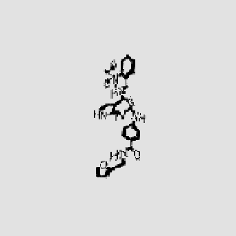 CN(c1ccccc1CNc1nc(Nc2ccc(C(=O)NCc3ccco3)cc2)nc2[nH]ccc12)S(C)(=O)=O